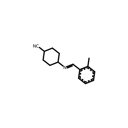 Cc1ccccc1C=NC1CCC(C#N)CC1